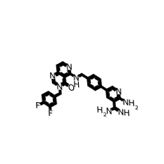 N=C(N)c1cc(-c2ccc(CNc3nccc4ncn(Cc5ccc(F)c(F)c5)c(=O)c34)cc2)cnc1N